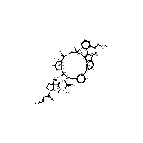 CCC/C=C/C(=O)N1CCC(O)(C(=O)N(C)[C@H](C(=O)N[C@H]2Cc3cccc(c3)-c3ccc4c(c3)c(c(-c3ccccc3CCOC)n4CC)CC(C)(C)COC(=O)[C@@H]3CCCN(N3)C2=O)C(C)C)C1